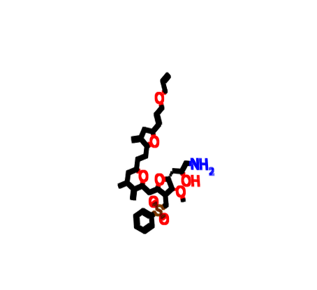 C=CCOC/C=C/C1CC(=C)C(CCC2CC(C)C(=C)C(CC3O[C@H](CC(O)CN)[C@H](OC)C3CS(=O)(=O)c3ccccc3)O2)O1